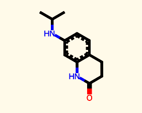 CC(C)Nc1ccc2c(c1)NC(=O)CC2